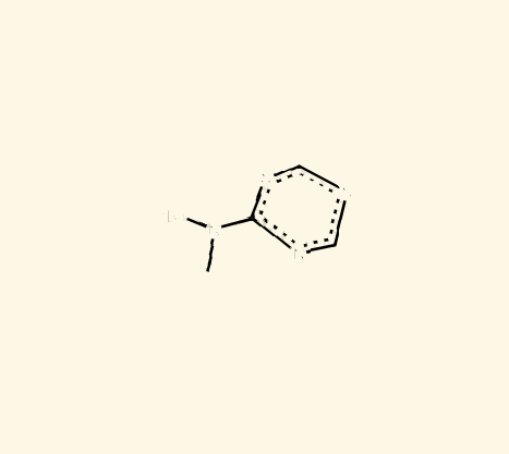 CC(C)(C)N(Cl)c1ncncn1